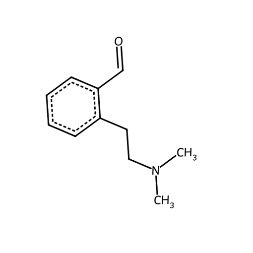 CN(C)CCc1ccccc1C=O